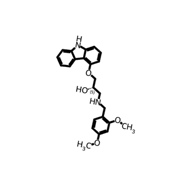 COc1ccc(CNC[C@H](O)COc2cccc3[nH]c4ccccc4c23)c(OC)c1